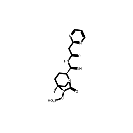 N=C(NC(=O)Cc1ncccn1)[C@@H]1CC[C@@H]2CN1C(=O)N2OS(=O)(=O)O